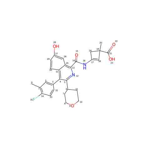 Cc1cc(-c2c(C3CCOCC3)nc(C(=O)NC3=CC(C)(C(=O)O)C3)c3cc(O)ccc23)ccc1F